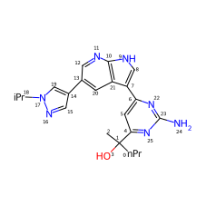 CCCC(C)(O)c1cc(-c2c[nH]c3ncc(-c4cnn(C(C)C)c4)cc23)nc(N)n1